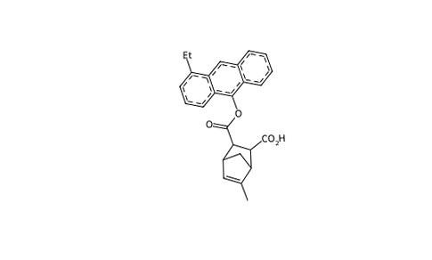 CCc1cccc2c(OC(=O)C3C4C=C(C)C(C4)C3C(=O)O)c3ccccc3cc12